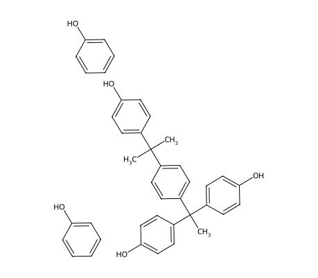 CC(C)(c1ccc(O)cc1)c1ccc(C(C)(c2ccc(O)cc2)c2ccc(O)cc2)cc1.Oc1ccccc1.Oc1ccccc1